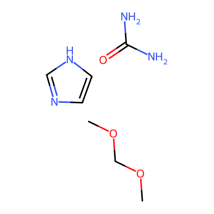 COCOC.NC(N)=O.c1c[nH]cn1